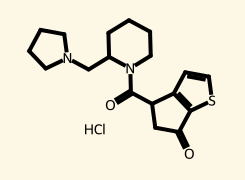 Cl.O=C1CC(C(=O)N2CCCCC2CN2CCCC2)c2ccsc21